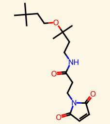 CC(C)(C)CCOC(C)(C)CCNC(=O)CCN1C(=O)C=CC1=O